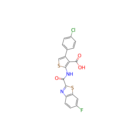 O=C(Nc1scc(-c2ccc(Cl)cc2)c1C(=O)O)c1nc2ccc(F)cc2s1